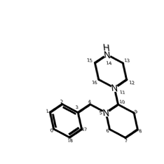 c1ccc(CN2CCCCC2N2CCNCC2)cc1